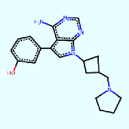 Nc1ncnc2c1c(-c1cccc(O)c1)cn2C1CC(CN2CCCC2)C1